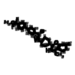 C[C@@H](NC(=O)[C@H]1CC[C@H](N[S+]([O-])c2ccc(-c3ccc(C(C)(F)F)cc3)cc2)CC1)c1ccc(F)cc1